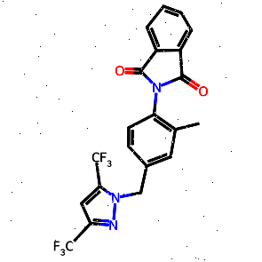 Cc1cc(Cn2nc(C(F)(F)F)cc2C(F)(F)F)ccc1N1C(=O)c2ccccc2C1=O